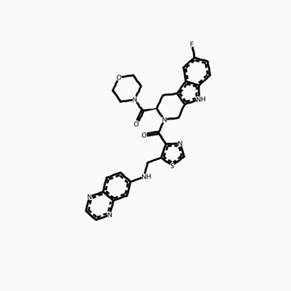 O=C([C@H]1Cc2c([nH]c3ccc(F)cc23)CN1C(=O)c1ncsc1CNc1ccc2nccnc2c1)N1CCOCC1